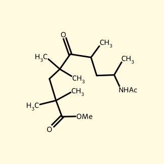 COC(=O)C(C)(C)CC(C)(C)C(=O)C(C)CC(C)NC(C)=O